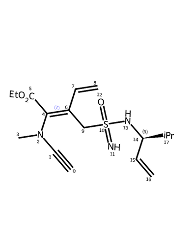 C#CN(C)/C(C(=O)OCC)=C(/C=C)CS(=N)(=O)N[C@H](C=C)C(C)C